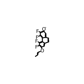 C/C=C/Oc1cc2ccc3cc(OC)c(F)c(F)c3c2c(F)c1F